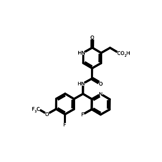 O=C(O)Cc1cc(C(=O)NC(c2ccc(OC(F)(F)F)c(F)c2)c2ncccc2F)c[nH]c1=O